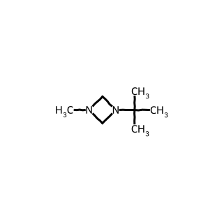 CN1CN(C(C)(C)C)C1